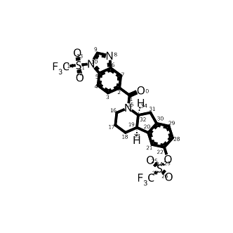 O=C(c1ccc2c(c1)ncn2S(=O)(=O)C(F)(F)F)N1CCC[C@@H]2c3cc(OS(=O)(=O)C(F)(F)F)ccc3C[C@@H]21